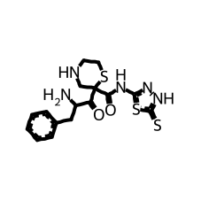 NC(Cc1ccccc1)C(=O)C1(C(=O)Nc2n[nH]c(=S)s2)CNCCS1